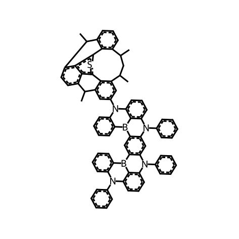 CC1CC(C)c2cc(N3c4ccccc4B4c5cc6c(cc5N(c5ccccc5)c5cccc3c54)N(c3ccccc3)c3cccc4c3B6c3ccccc3N4c3ccccc3)cc3c2-c2sc4c5c(ccc(c25)C3C)C(C)c2cccc1c2-4